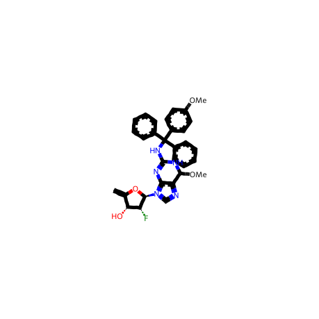 C=C1O[C@@H](n2cnc3c2N=C(NC(c2ccccc2)(c2ccccc2)c2ccc(OC)cc2)NC3OC)[C@H](F)[C@@H]1O